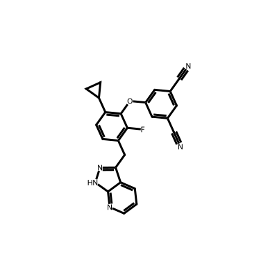 N#Cc1cc(C#N)cc(Oc2c(C3CC3)ccc(Cc3n[nH]c4ncccc34)c2F)c1